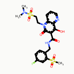 CN(C)S(=O)(=O)CCn1c(=O)c(C(=O)NCc2ccc(F)cc2S(C)(=O)=O)c(O)c2ncccc21